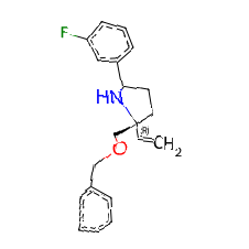 C=C[C@@]1(COCc2ccccc2)CCC(c2cccc(F)c2)N1